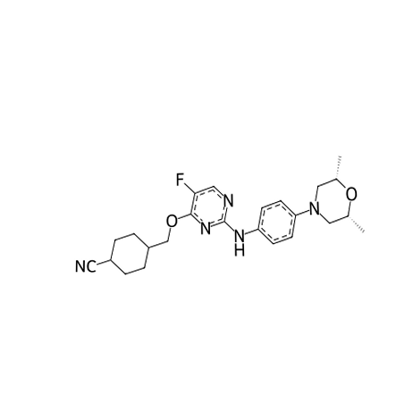 C[C@@H]1CN(c2ccc(Nc3ncc(F)c(OCC4CCC(C#N)CC4)n3)cc2)C[C@H](C)O1